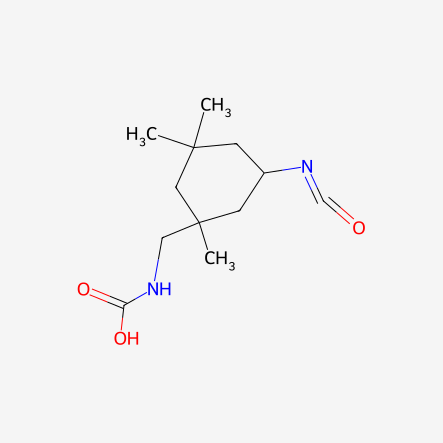 CC1(C)CC(N=C=O)CC(C)(CNC(=O)O)C1